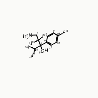 NCC(F)(F)C(O)(c1ccc(F)cc1)C(F)F